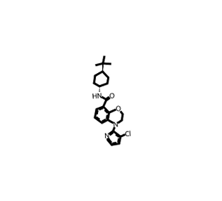 CC(C)(C)[C@H]1CC[C@H](NC(=O)c2cccc3c2OCCN3c2ncccc2Cl)CC1